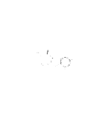 CC(C)(C)OC(=O)NC(C#N)Cc1ccc(I)cc1